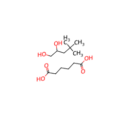 CC(C)(C)CC(O)CO.O=C(O)CCCCC(=O)O